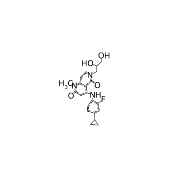 Cn1c(=O)cc(Nc2ccc(C3CC3)cc2F)c2c(=O)n(CC(O)CO)ccc21